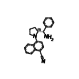 N#Cc1ccc(N2CCC[C@@H]2C(N)c2ccccc2)c2ccccc12